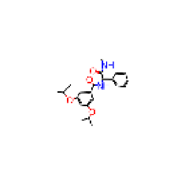 CNC(=O)C(NC(=O)c1cc(OC(C)C)cc(OC(C)C)c1)c1ccccc1